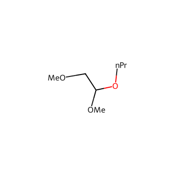 CCCOC(COC)OC